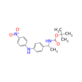 CC(NC(=O)OC(C)(C)C)c1ccc(Nc2ccc([N+](=O)[O-])cc2)cc1